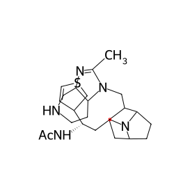 CC(=O)N[C@@H](CCN1C2CCC(CN3C(C)=NC4CNCCC43)C1CC2)C1C=CSC1